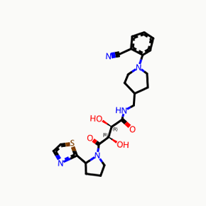 N#Cc1ccccc1N1CCC(CNC(=O)[C@H](O)[C@@H](O)C(=O)N2CCCC2c2nccs2)CC1